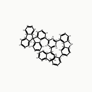 c1ccc(-c2ccc3sc4cccc(-c5nc(-c6cccc(C7(c8ccccc8)c8ccccc8-c8ccccc87)c6)nc(-c6cccc7ccccc67)n5)c4c3c2)cc1